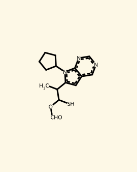 CC(c1cc2cncnc2n1C1CCCC1)C(S)OC=O